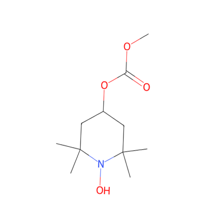 COC(=O)OC1CC(C)(C)N(O)C(C)(C)C1